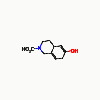 O=C(O)N1CCC2C=C(O)CC=C2C1